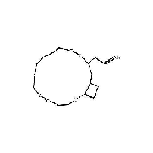 N=CCC1CCCCCCCCCCCCCC2CCC2C1